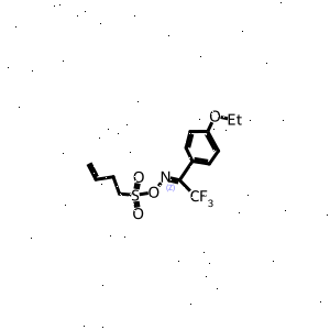 C=CCCS(=O)(=O)O/N=C(/c1ccc(OCC)cc1)C(F)(F)F